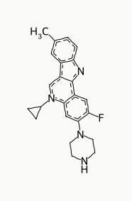 Cc1ccc2nc3c4cc(F)c(N5CCNCC5)cc4n(C4CC4)cc-3c2c1